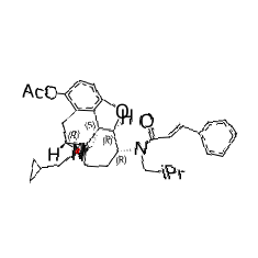 CC(=O)Oc1ccc2c3c1C[C@@H]1[C@@H]4CC[C@@H](N(CC(C)C)C(=O)C=Cc5ccccc5)[C@H](O2)[C@]34CCN1CC1CC1